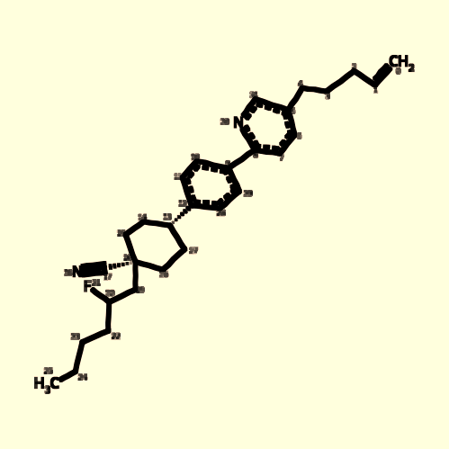 C=CCCCc1ccc(-c2ccc([C@H]3CC[C@](C#N)(CC(F)CCCC)CC3)cc2)nc1